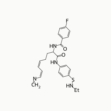 C=N/C=C\C=C/CCC(NC(=O)c1ccc(F)cc1)C(=O)Nc1ccc(SNCC)cc1